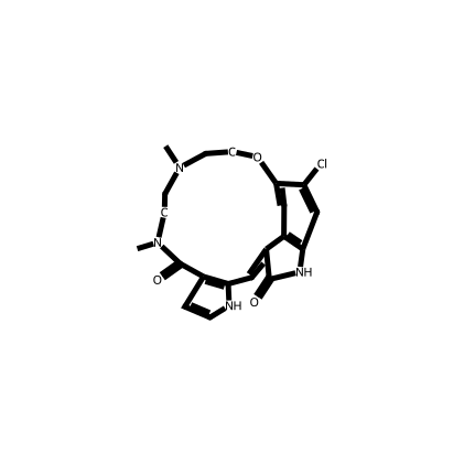 CN1CCOc2cc3c(cc2Cl)NC(=O)/C3=C\c2[nH]ccc2C(=O)N(C)CC1